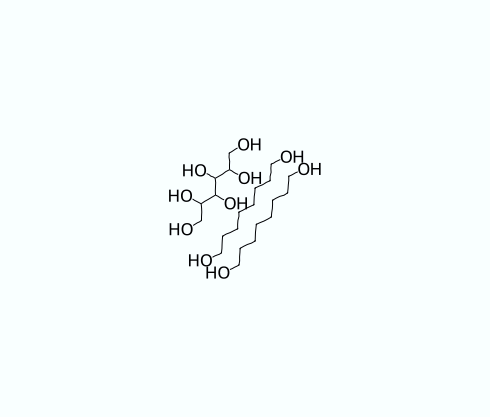 OCC(O)C(O)C(O)C(O)CO.OCCCCCCCCO.OCCCCCCCCO